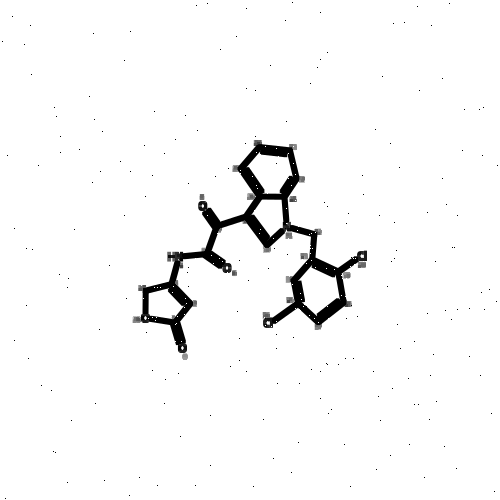 O=C1C=C(NC(=O)C(=O)c2cn(Cc3cc(Cl)ccc3Cl)c3ccccc23)CO1